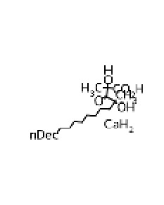 CCCCCCCCCCCCCCCCCCC(C)(O)C(=O)C(C)(O)C(=O)O.[CaH2]